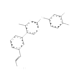 Cc1nc(Nc2ccc(F)c(Cl)c2)ncc1-c1cccc(/C=C/C(=O)O)c1